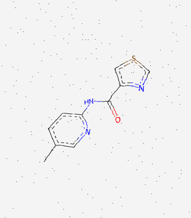 Cc1ccc(NC(=O)c2cscn2)nc1